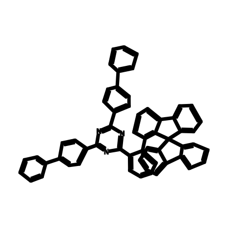 c1ccc(-c2ccc(-c3nc(-c4ccc(-c5ccccc5)cc4)nc(-c4ccccc4-c4cccc5c4C4(c6ccccc6-c6ccccc64)c4ccccc4-5)n3)cc2)cc1